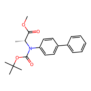 COC(=O)[C@@H](C)N(C(=O)OC(C)(C)C)c1ccc(-c2ccccc2)cc1